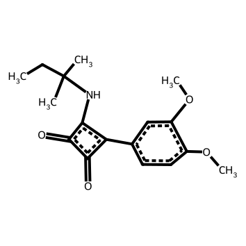 CCC(C)(C)Nc1c(-c2ccc(OC)c(OC)c2)c(=O)c1=O